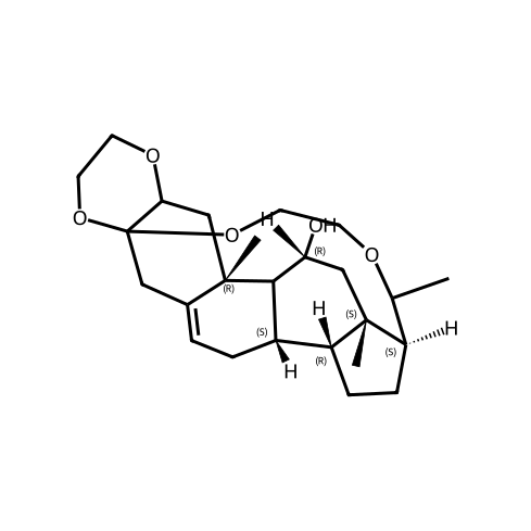 CC1OCCOC23CC4=CC[C@@H]5C([C@H](O)C[C@]6(C)[C@@H]1CC[C@H]56)[C@@]4(C)CC2OCCO3